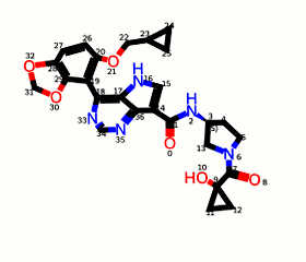 O=C(N[C@H]1CCN(C(=O)C2(O)CC2)C1)c1c[nH]c2c(-c3c(OCC4CC4)ccc4c3OCO4)ncnc12